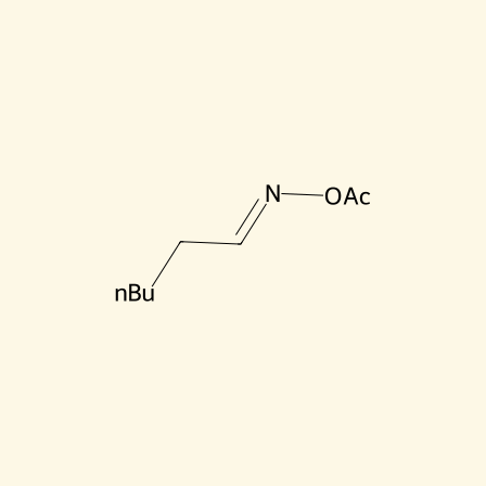 CCCCCC=NOC(C)=O